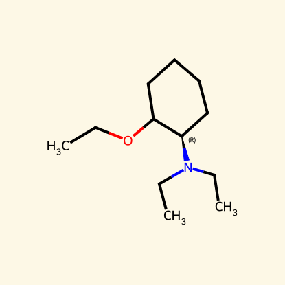 CCOC1CCCC[C@H]1N(CC)CC